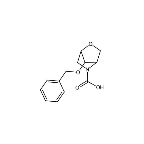 O=C(O)N1CC2OCC1C2OCc1ccccc1